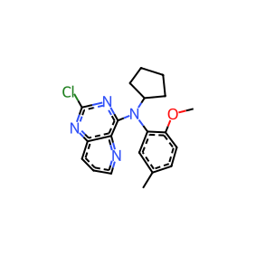 COc1ccc(C)cc1N(c1nc(Cl)nc2cccnc12)C1CCCC1